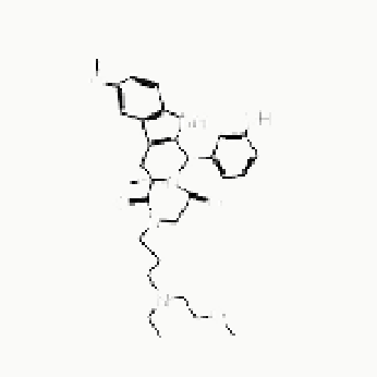 CCN(CCCN1CC(=O)N2[C@H](c3cccc(O)c3)c3[nH]c4ccc(OC)cc4c3C[C@@]2(C)C1=O)CCOC